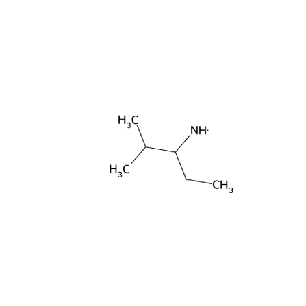 CCC([NH])C(C)C